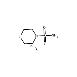 C[C@@H]1COCCN1S(N)(=O)=O